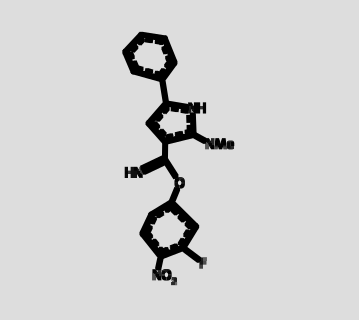 CNc1[nH]c(-c2ccccc2)cc1C(=N)Oc1ccc([N+](=O)[O-])c(F)c1